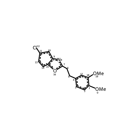 COc1ccc(CCc2nc3cc(Cl)ccc3o2)cc1OC